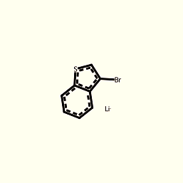 Brc1csc2ccccc12.[Li]